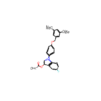 COc1cc(COc2ccc(-n3cc(OC(=O)C=O)c4cc(F)ccc43)cc2)cc(OC)c1